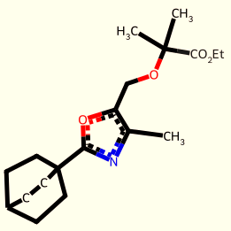 CCOC(=O)C(C)(C)OCc1oc(C23CCC(CC2)CC3)nc1C